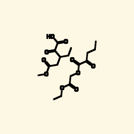 CCC(CC(=O)OC)C(=O)C(=O)O.CCCC(=O)C(=O)OCC(=O)OCC